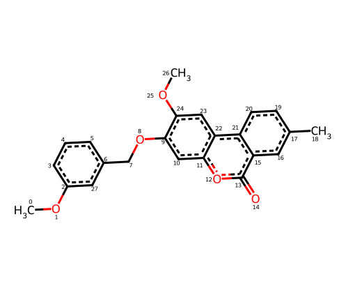 COc1cccc(COc2cc3oc(=O)c4cc(C)ccc4c3cc2OC)c1